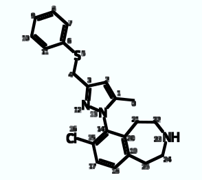 Cc1cc(CSc2ccccc2)nn1-c1c(Cl)ccc2c1CCNCC2